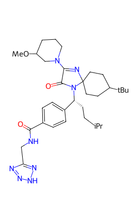 COC1CCCN(C2=NC3(CCC(C(C)(C)C)CC3)N([C@H](CCC(C)C)c3ccc(C(=O)NCc4nn[nH]n4)cc3)C2=O)C1